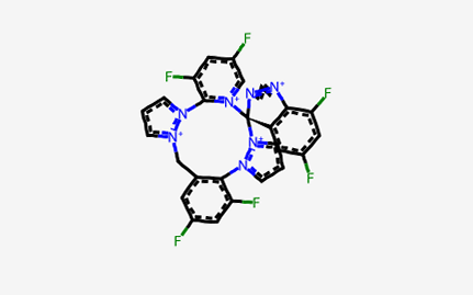 Fc1cc(F)c2c(c1)C[n+]1cccn1-c1c(F)cc(F)c[n+]1[C@@]1(c3cc(F)cc(F)c3-[n+]3cccn31)[n+]1cccn1-2